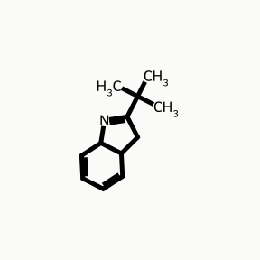 CC(C)(C)C1=NC2C=CC=CC2C1